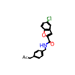 CC(=O)Cc1ccc(CNC(=O)c2cc3cc(Cl)ccc3o2)cc1